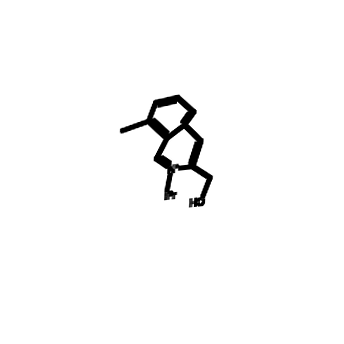 Cc1cccc2cc(CO)[n+](C(C)C)cc12